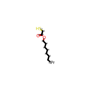 CC(C)CCCCCCCOC(=O)CS